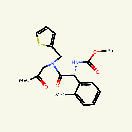 COC(=O)CN(Cc1cccs1)C(=O)[C@H](NC(=O)OC(C)(C)C)c1ccccc1OC